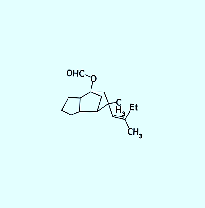 CC/C(C)=C\C1(C)CC2(OC=O)CC1C1CCCC12